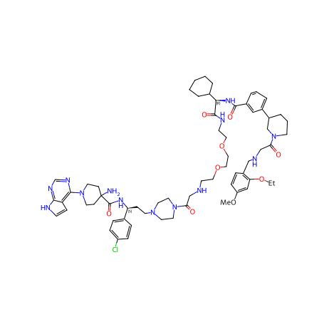 CCOc1cc(OC)ccc1CNCC(=O)N1CCCC(c2cccc(C(=O)N[C@@H](C(=O)NCCOCCOCCNCC(=O)N3CCN(CC[C@H](NC(=O)C4(N)CCN(c5ncnc6[nH]ccc56)CC4)c4ccc(Cl)cc4)CC3)C3CCCCC3)c2)C1